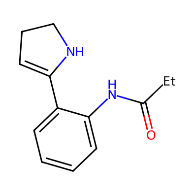 CCC(=O)Nc1ccccc1C1=CCCN1